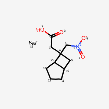 O=C(O)CC1(C[N+](=O)[O-])CC2CCCC21.[Na+]